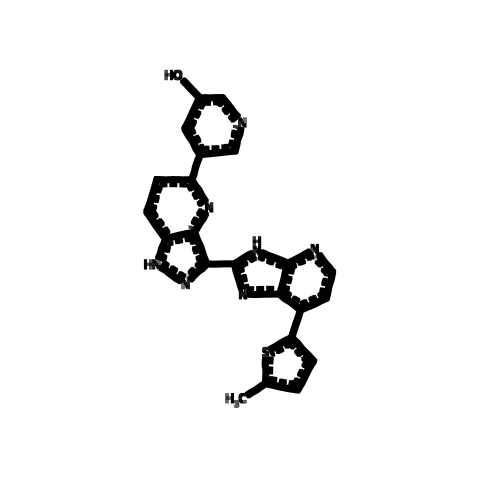 Cc1ccc(-c2ccnc3[nH]c(-c4n[nH]c5ccc(-c6cncc(O)c6)nc45)nc23)s1